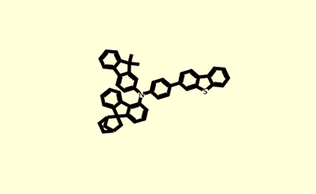 CC1(C)c2ccccc2-c2ccc(N(c3ccc(-c4ccc5c(c4)sc4ccccc45)cc3)c3cccc4c3-c3ccccc3C43CC4CCC3C4)cc21